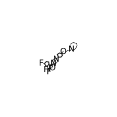 O=C(c1ccc(F)cc1C(F)(F)F)N1CCN(c2ccc(OCCCN3CCCCCCC3)cc2)CC1